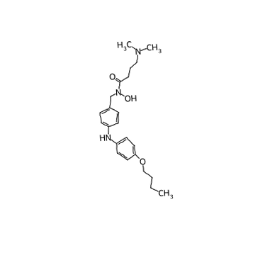 CCCCOc1ccc(Nc2ccc(CN(O)C(=O)CCCN(C)C)cc2)cc1